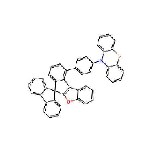 c1ccc2c(c1)Sc1ccccc1N2c1ccc(-c2cccc3c2-c2c(oc4ccccc24)C32c3ccccc3-c3ccccc32)cc1